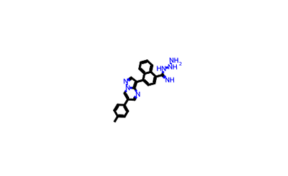 Cc1ccc(-c2cnc3c(-c4ccc(C(=N)NNN)c5ccccc45)cnn3c2)cc1